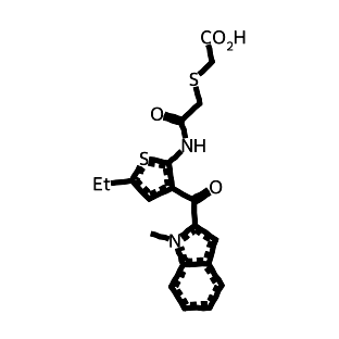 CCc1cc(C(=O)c2cc3ccccc3n2C)c(NC(=O)CSCC(=O)O)s1